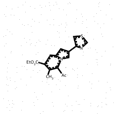 CCOC(=O)c1cc2cc(-c3cscn3)cn2c(C(C)=O)c1C